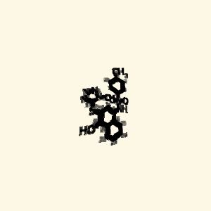 Cc1ccc(S(=O)(=O)Nc2cc(Sc3nnnn3C)c(O)c3ccccc23)cc1